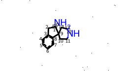 N[C@@H]1Cc2ccccc2C12CCNCC2